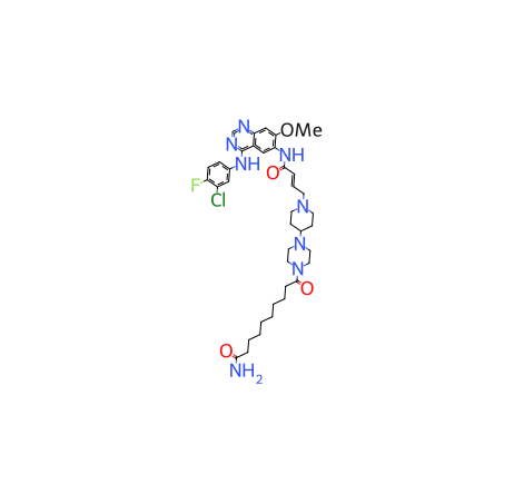 COc1cc2ncnc(Nc3ccc(F)c(Cl)c3)c2cc1NC(=O)/C=C/CN1CCC(N2CCN(C(=O)CCCCCCCCC(N)=O)CC2)CC1